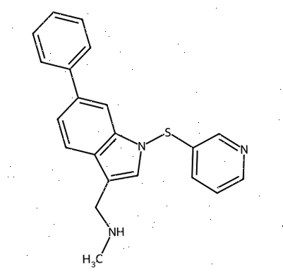 CNCc1cn(Sc2cccnc2)c2cc(-c3ccccc3)ccc12